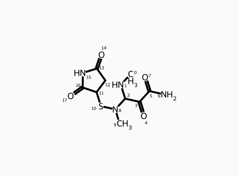 CNC(C(=O)C(N)=O)N(C)SC1CC(=O)NC1=O